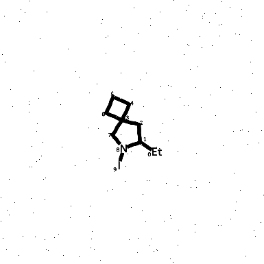 CCC1CC2(CCC2)CN1I